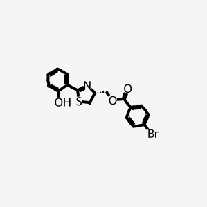 O=C(OC[C@@H]1CSC(c2ccccc2O)=N1)c1ccc(Br)cc1